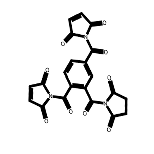 O=C1C=CC(=O)N1C(=O)c1ccc(C(=O)N2C(=O)C=CC2=O)c(C(=O)N2C(=O)CCC2=O)c1